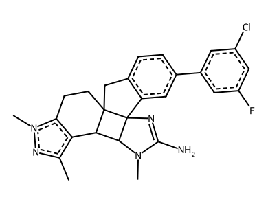 Cc1nn(C)c2c1C1C3N(C)C(N)=NC34c3cc(-c5cc(F)cc(Cl)c5)ccc3CC14CC2